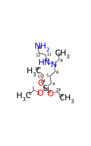 CCO[Si](CCCN(CC)NCCN)(OCC)OCC